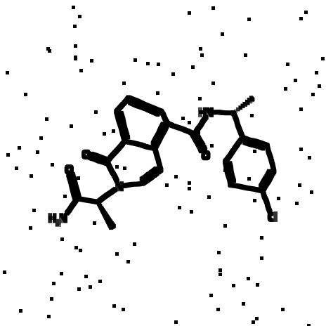 C[C@@H](NC(=O)c1cccc2c(=O)n([C@@H](C)C(N)=O)ccc12)c1ccc(Cl)cc1